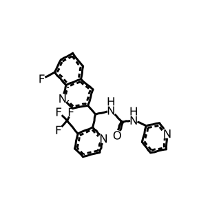 O=C(Nc1cccnc1)NC(c1cnc2c(F)cccc2c1)c1ncccc1C(F)(F)F